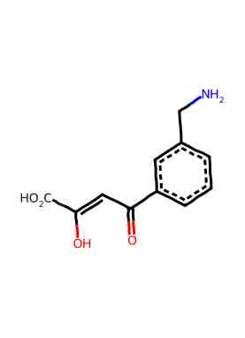 NCc1cccc(C(=O)/C=C(\O)C(=O)O)c1